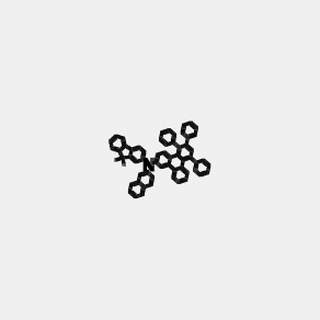 CC1(C)c2ccccc2-c2ccc(N(c3ccc4ccccc4c3)c3ccc4c(c3)c3ccccc3c3c(-c5ccccc5)cc(-c5ccccc5)c(-c5ccccc5)c43)cc21